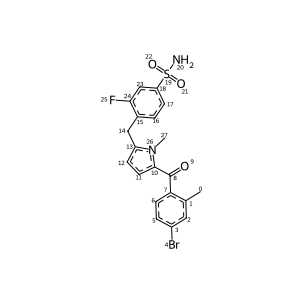 Cc1cc(Br)ccc1C(=O)c1ccc(Cc2ccc(S(N)(=O)=O)cc2F)n1C